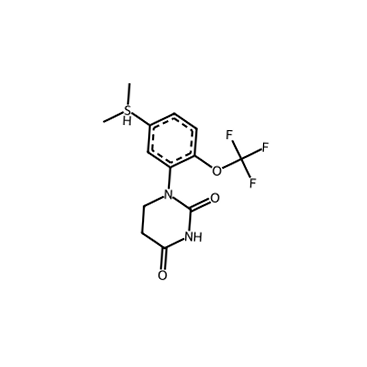 C[SH](C)c1ccc(OC(F)(F)F)c(N2CCC(=O)NC2=O)c1